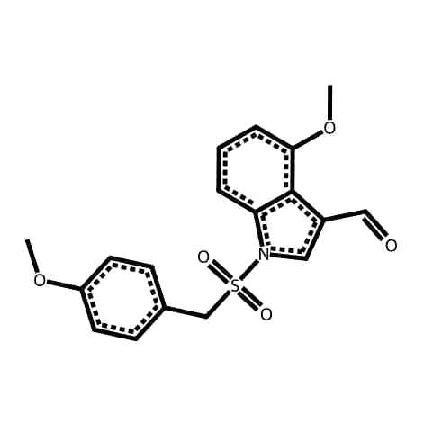 COc1ccc(CS(=O)(=O)n2cc(C=O)c3c(OC)cccc32)cc1